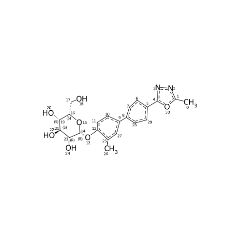 Cc1nnc(-c2ccc(-c3ccc(O[C@H]4O[C@@H](CO)[C@@H](O)[C@H](O)[C@H]4O)c(C)c3)cc2)o1